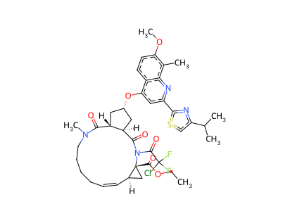 CCOC(=O)[C@@]12C[C@H]1/C=C\CCCCN(C)C(=O)[C@@H]1C[C@H](Oc3cc(-c4nc(C(C)C)cs4)nc4c(C)c(OC)ccc34)C[C@H]1C(=O)N2C(=O)C(F)(F)Cl